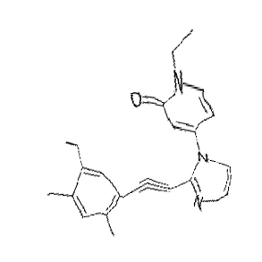 CCn1ccc(-n2ccnc2C#Cc2cc(C)c(C)cc2C)cc1=O